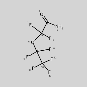 NC(=O)C(F)(F)OC(F)(F)C(F)(F)F